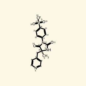 C[C@]1(Cc2ccncc2)NC(=O)N(c2ccc(S(=O)(=O)C(F)(F)F)cc2)C1=O